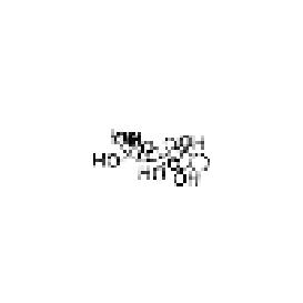 O=C(O)C1CCCCC1C(=O)O.OCC(CO)(CO)COCC(CO)(CO)CO